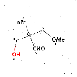 CCCC(C=O)(CO)COC